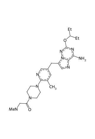 CCC(CC)Oc1nc(N)c2ncc(Cc3cnc(N4CCN(C(=O)CNC)CC4)c(C)c3)n2n1